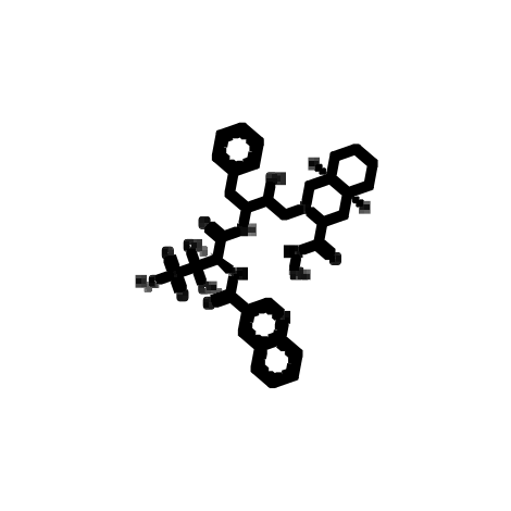 CC(C)(C)NC(=O)C1C[C@@H]2CCCC[C@@H]2CN1CC(O)C(Cc1ccccc1)NC(=O)[C@@H](NC(=O)c1cnc2ccccc2c1)C(C)(C)S(C)(=O)=O